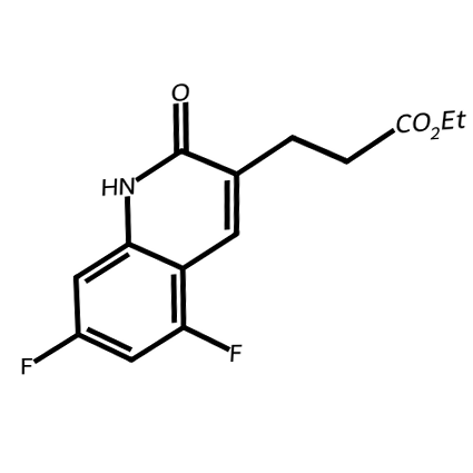 CCOC(=O)CCc1cc2c(F)cc(F)cc2[nH]c1=O